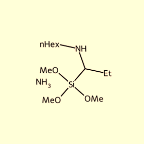 CCCCCCNC(CC)[Si](OC)(OC)OC.N